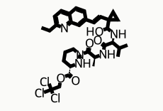 CCc1ccc2ccc(/C=C/C3(C(O)N[C@H](C(=O)N[C@@H](C)C(=O)N4CCC[C@@H](C(=O)OCC(Cl)(Cl)Cl)N4)C(C)C)CC3)cc2n1